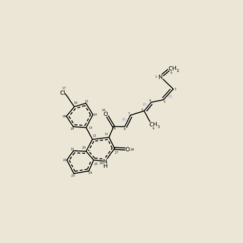 C=N\C=C/C=C(C)/C=C/C(=O)c1c(-c2ccc(Cl)cc2)c2ccccc2[nH]c1=O